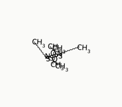 CCCCCCCCCCCCCCc1csc(-c2cc3c(OCC(CC)CCCC)c4sc(-c5nc(CCCCCCCCCCCCCC)cs5)cc4c(OCC(CC)CCCC)c3s2)n1